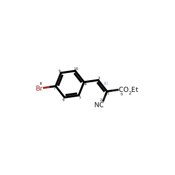 CCOC(=O)/C(C#N)=C/c1ccc(Br)cc1